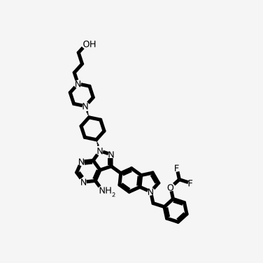 Nc1ncnc2c1c(-c1ccc3c(ccn3Cc3ccccc3OC(F)F)c1)nn2[C@H]1CC[C@@H](N2CCN(CCCO)CC2)CC1